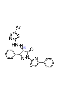 CC(=O)c1cnc(N/N=C2/C(=O)N(c3nc(-c4ccccc4)cs3)N=C2c2ccccc2)s1